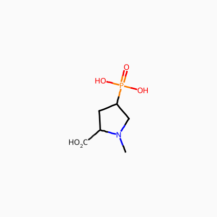 CN1CC(P(=O)(O)O)CC1C(=O)O